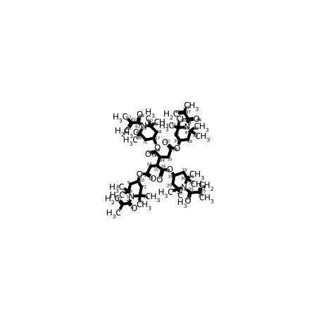 C=C(C)C(=O)N1C(C)(C)CC(OC(=O)CC(C(=O)OC2CC(C)(C)N(C(=O)C(=C)C)C(C)(C)C2)C(CC(=O)OC2CC(C)(C)N(C(=O)C(=C)C)C(C)(C)C2)C(=O)OC2CC(C)(C)N(C(=O)C(=C)C)C(C)(C)C2)CC1(C)C